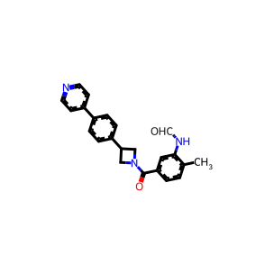 Cc1ccc(C(=O)N2CC(c3ccc(-c4ccncc4)cc3)C2)cc1NC=O